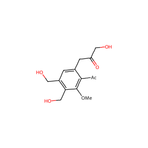 COc1c(CO)c(CO)cc(CC(=O)CO)c1C(C)=O